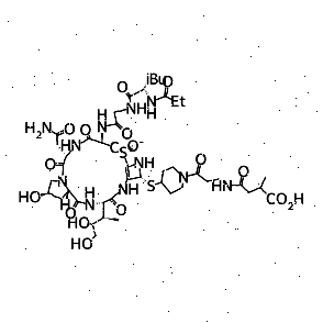 CCC(=O)N[C@H](C(=O)NCC(=O)N[C@H]1C[S+]([O-])C2=C(NC(=O)[C@H]([C@@H](C)[C@@H](O)CO)NC(=O)[C@@H]3C[C@@H](O)CN3C(=O)[C@H](CC(N)=O)NC1=O)[C@@H](SC1CCN(C(=O)CCNC(=O)CC(C)C(=O)O)CC1)N2)[C@@H](C)CC